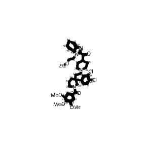 CCOCCn1c(C(=O)C2CCN(CCC3(c4ccc(Cl)c(Cl)c4)CCCN(C(=O)c4cc(OC)c(OC)c(OC)c4)C3)CC2)nc2ccccc21